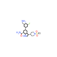 CCS(=O)(=O)N1CCC(c2c[nH]c3c(C(N)=O)cc(-c4cc(F)cc(CN)c4)cc23)CC1